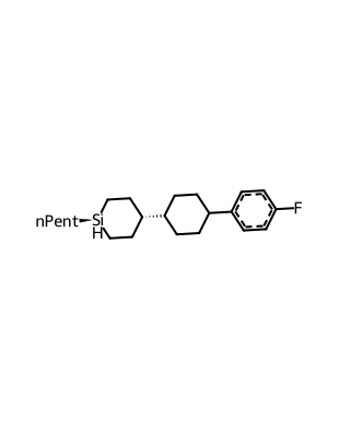 CCCCC[Si@H]1CC[C@H](C2CCC(c3ccc(F)cc3)CC2)CC1